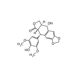 COc1cc([C@@H]2c3cc4c(cc3[C@@H](O)[C@@H]3COC(=O)[C@@H]23)OCO4)cc(OC)c1O